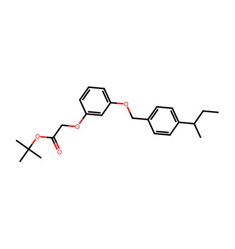 CCC(C)c1ccc(COc2cccc(OCC(=O)OC(C)(C)C)c2)cc1